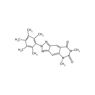 Cc1c(C)c(C)c(-n2nc3cc4c(=O)n(C)c(=O)n(C)c4cc3n2)c(C)c1C